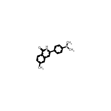 Cc1ccc2c(=O)[nH]c(-c3ccc(N(C)C)cc3)cc2c1